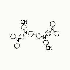 N#Cc1ccc(N(c2ccc(-c3ccc(N(c4ccc(C#N)cc4)c4ccc5c(c4)c4ccccc4n5-c4ccccc4)cc3)cc2)c2ccc3c(c2)c2ccccc2n3C2=CCCC=C2)cc1